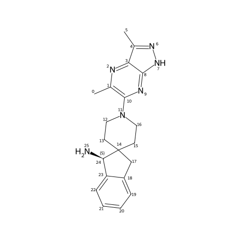 Cc1nc2c(C)n[nH]c2nc1N1CCC2(CC1)Cc1ccccc1[C@H]2N